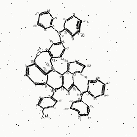 Cc1ccc(N2c3cccc4c3B(c3ccc(N(c5ccccc5)c5ccccc5)cc3O4)c3c2cc(N(c2ccccc2)c2ccccc2)c2ccccc32)cc1